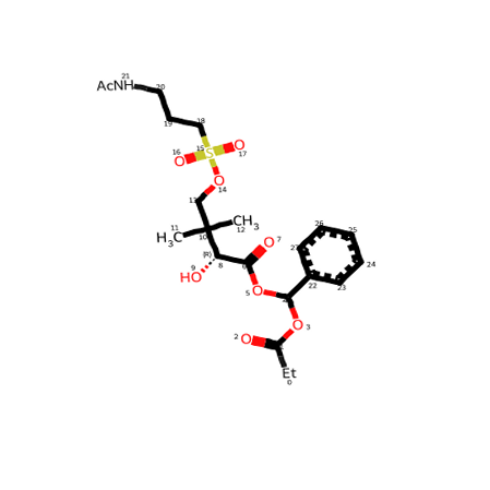 CCC(=O)OC(OC(=O)[C@H](O)C(C)(C)COS(=O)(=O)CCCNC(C)=O)c1ccccc1